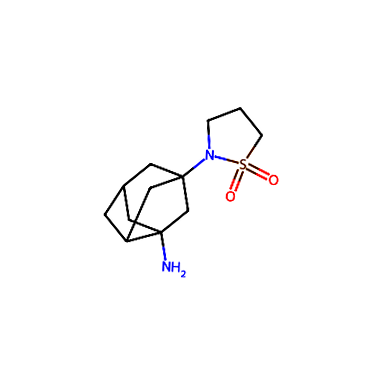 NC12CC3CC1CC(N1CCCS1(=O)=O)(C3)C2